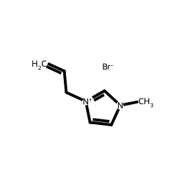 C=CC[n+]1ccn(C)c1.[Br-]